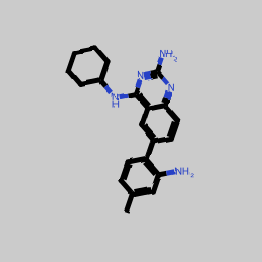 Cc1ccc(-c2ccc3nc(N)nc(NC4CCCCC4)c3c2)c(N)c1